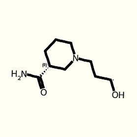 NC(=O)[C@@H]1CCCN(CC[CH]O)C1